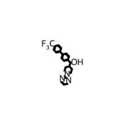 O[C@@H](c1ccc(-c2ccc(C(F)(F)F)cc2)cc1)C1CCN(c2ncccn2)CC1